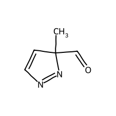 CC1(C=O)C=CN=N1